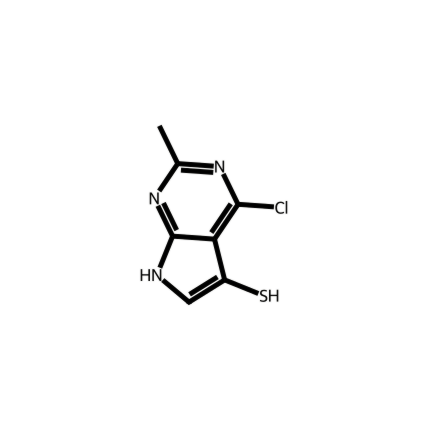 Cc1nc(Cl)c2c(S)c[nH]c2n1